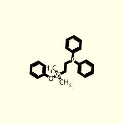 C[Si](C)(CCP(c1ccccc1)c1ccccc1)Oc1ccccc1